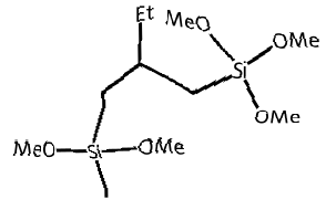 CCC(C[Si](C)(OC)OC)C[Si](OC)(OC)OC